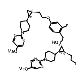 COc1cnc(N2CCC([C@H]3C[C@H]3CCO)CC2)nc1.COc1cnc(N2CCC([C@H]3C[C@H]3CCOc3ccc(CC(=O)O)c(F)c3)CC2)nc1